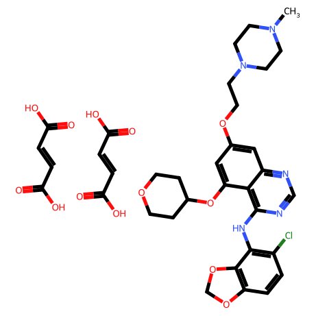 CN1CCN(CCOc2cc(OC3CCOCC3)c3c(Nc4c(Cl)ccc5c4OCO5)ncnc3c2)CC1.O=C(O)C=CC(=O)O.O=C(O)C=CC(=O)O